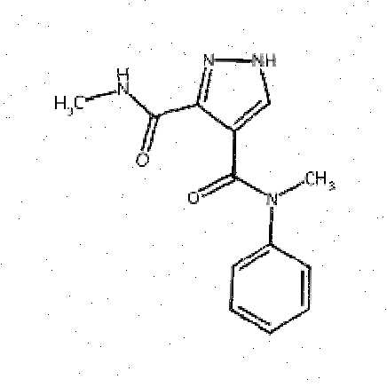 CNC(=O)c1n[nH]cc1C(=O)N(C)c1ccccc1